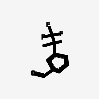 CC(C)(c1cccc(C=O)c1)C(F)(F)F